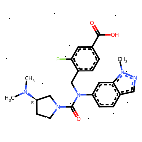 CN(C)[C@@H]1CCN(C(=O)N(Cc2ccc(C(=O)O)cc2F)c2ccc3cnn(C)c3c2)C1